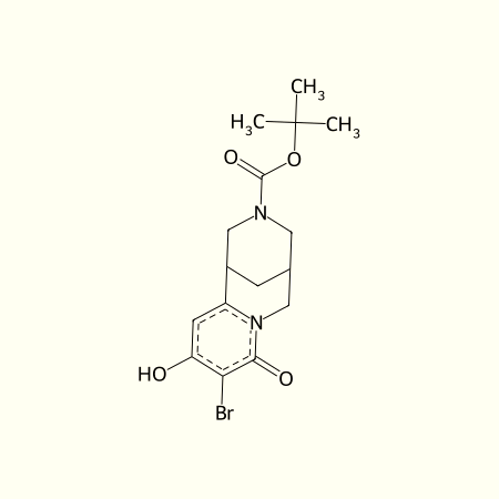 CC(C)(C)OC(=O)N1CC2CC(C1)c1cc(O)c(Br)c(=O)n1C2